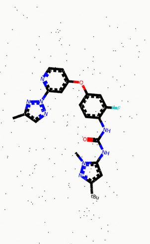 Cc1cnn(-c2cc(Oc3ccc(NC(=O)Nc4cc(C(C)(C)C)nn4C)c(F)c3)ccn2)n1